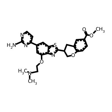 COC(=O)c1ccc2c(c1)CC(c1nc3c(OCCN(C)C)cc(-c4ccnc(N)n4)cc3s1)CO2